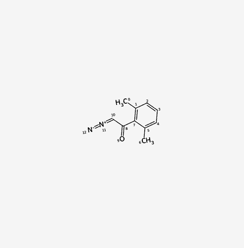 Cc1cccc(C)c1C(=O)C=[N+]=[N-]